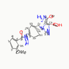 COc1cccc(C(=O)Nc2ccc(Cn3cnc(O)c3C(N)=O)cc2)c1